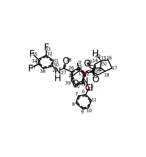 CC1CON(Cc2ccccc2)C1C1=C[C@@H]2CCC(C1)C2S(=O)(=O)c1cc(C(=O)Nc2cc(F)c(F)c(F)c2)ccc1Cl